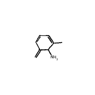 C=C1C=CC=C(C)C1N